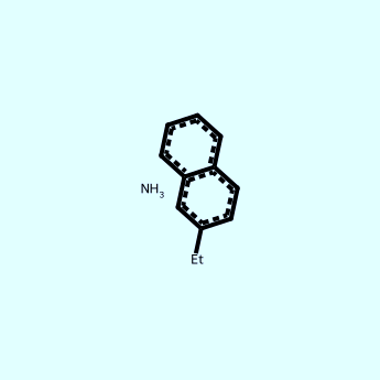 CCc1ccc2ccccc2c1.N